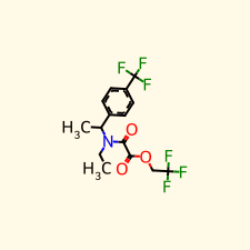 CCN(C(=O)C(=O)OCC(F)(F)F)C(C)c1ccc(C(F)(F)F)cc1